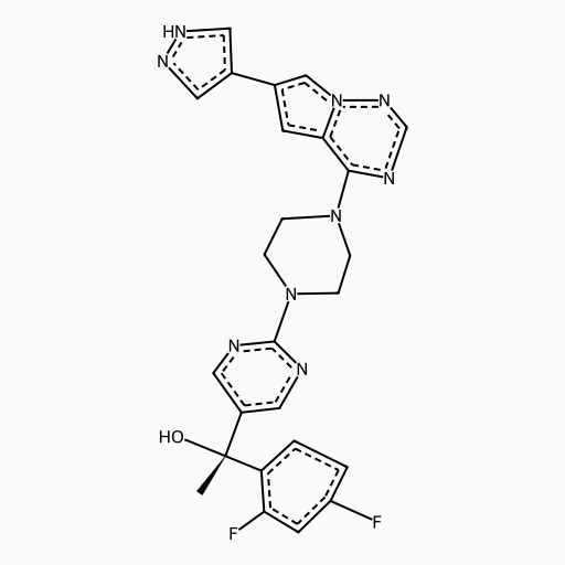 C[C@@](O)(c1cnc(N2CCN(c3ncnn4cc(-c5cn[nH]c5)cc34)CC2)nc1)c1ccc(F)cc1F